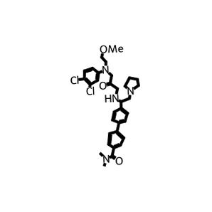 COCCN(CC(=O)CNC(CN1CCCC1)c1ccc(-c2ccc(C(=O)N(C)C)cc2)cc1)c1ccc(Cl)c(Cl)c1